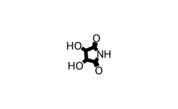 O=C1NC(=O)C(O)C1O